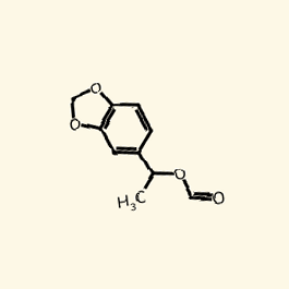 CC(OC=O)c1ccc2c(c1)OCO2